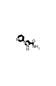 NC(=O)C1=CN(c2cccnc2)CN1